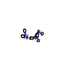 c1ccc(-c2nc(-c3ccc4c(c3)c3cc5ccn(-c6ccccc6)c5cc3n4-c3ccccc3)nc3ccccc23)cc1